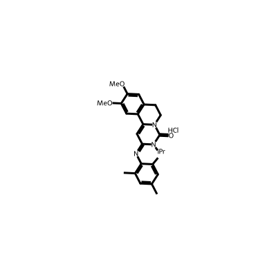 COc1cc2c(cc1OC)-c1c/c(=N/c3c(C)cc(C)cc3C)n(C(C)C)c(=O)n1CC2.Cl